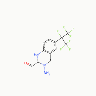 NN1Cc2cc(C(F)(C(F)(F)F)C(F)(F)F)ccc2NC1C=O